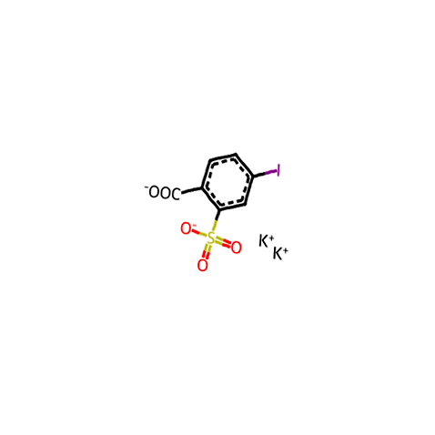 O=C([O-])c1ccc(I)cc1S(=O)(=O)[O-].[K+].[K+]